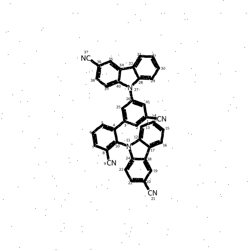 N#Cc1cc(-c2cccc(C#N)c2-n2c3ccccc3c3cc(C#N)ccc32)cc(-n2c3ccccc3c3cc(C#N)ccc32)c1